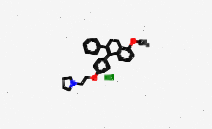 COc1cccc2c1CCC(c1ccccc1)=C2c1ccc(OCCN2CCCC2)cc1.Cl